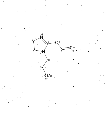 C=COC1=NCCN1CCOC(C)=O